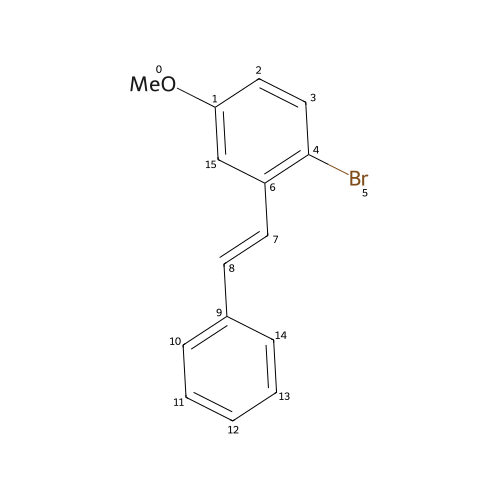 COc1ccc(Br)c(C=Cc2ccccc2)c1